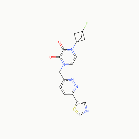 O=c1c(=O)n(C23CC(F)(C2)C3)ccn1Cc1ccc(-c2cncs2)nn1